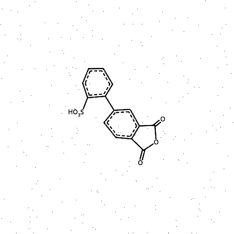 O=C1OC(=O)c2cc(-c3ccccc3S(=O)(=O)O)ccc21